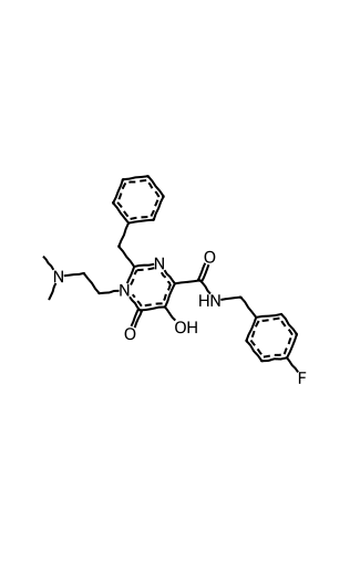 CN(C)CCn1c(Cc2ccccc2)nc(C(=O)NCc2ccc(F)cc2)c(O)c1=O